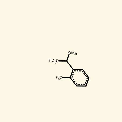 COC(C(=O)O)c1ccccc1C(F)(F)F